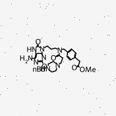 CCCCOc1nc(N)c2[nH]c(=O)n(CCCN(Cc3ccc(CC(=O)OC)cc3)C(=O)CCN3CCNCC3)c2n1